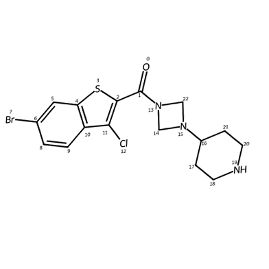 O=C(c1sc2cc(Br)ccc2c1Cl)N1CN(C2CCNCC2)C1